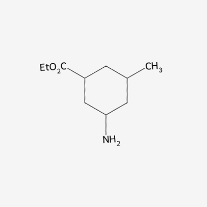 CCOC(=O)C1CC(C)CC(N)C1